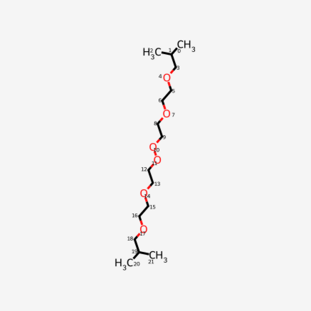 CC(C)COCCOCCOOCCOCCOCC(C)C